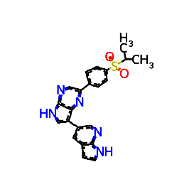 CC(C)S(=O)(=O)c1ccc(-c2cnc3[nH]cc(-c4cnc5[nH]ccc5c4)c3n2)cc1